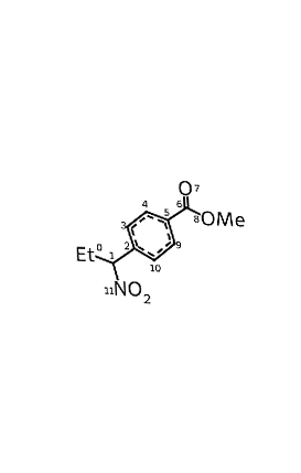 CCC(c1ccc(C(=O)OC)cc1)[N+](=O)[O-]